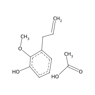 C=CCc1cccc(O)c1OC.CC(=O)O